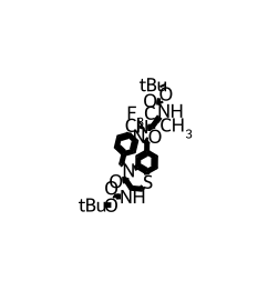 CC(C)(C)OC(=O)N[C@H]1CSc2ccc(-c3nnc(C(C)(NC(=O)OC(C)(C)C)C(F)(F)F)o3)cc2N(Cc2ccc(Cl)cc2)C1=O